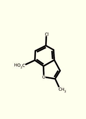 Cc1cc2cc(Cl)cc(C(=O)O)c2o1